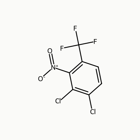 O=[N+]([O-])c1c(C(F)(F)F)ccc(Cl)c1Cl